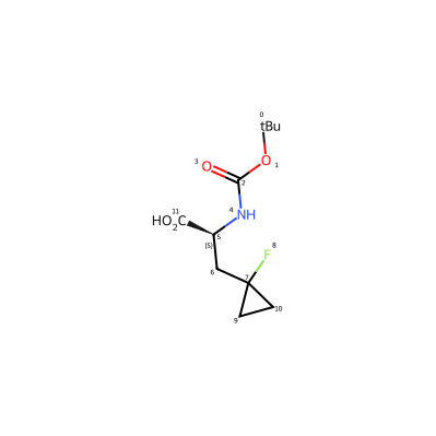 CC(C)(C)OC(=O)N[C@@H](CC1(F)CC1)C(=O)O